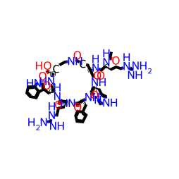 CC(=O)N[C@@H](CCCNC(=N)N)C(=O)N[C@H]1CCC(=O)NCCC[C@@H](C(=O)O)NC(=O)[C@H](Cc2c[nH]c3ccccc23)NC(=O)[C@H](CCCNC(=N)N)NC(=O)[C@@H](Cc2ccccc2)NC(=O)[C@H](Cc2c[nH]cn2)NC1=O